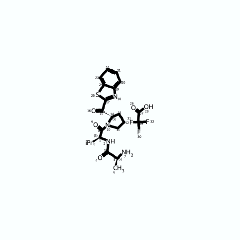 CC(C)[C@H](NC(=O)[C@H](C)N)C(=O)N1CCC[C@H]1C(=O)c1nc2ccccc2s1.O=C(O)C(F)(F)F